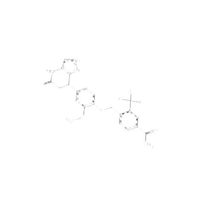 COc1cc(C2CC(=O)Nc3c[nH]nc32)ccc1OCc1ccc(C(C)=O)cc1C(F)(F)F